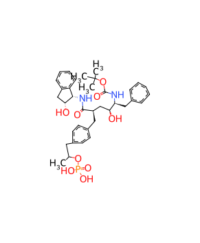 CC(Cc1ccc(C[C@H](C[C@H](O)[C@H](Cc2ccccc2)NC(=O)OC(C)(C)C)C(=O)N[C@H]2c3ccccc3C[C@H]2O)cc1)OP(=O)(O)O